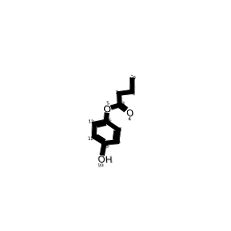 [CH2]CCC(=O)Oc1ccc(O)cc1